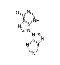 O=c1nc[nH]c2c1ncn2-n1cnc2cncnc21